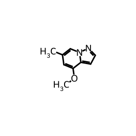 COc1cc(C)cn2nccc12